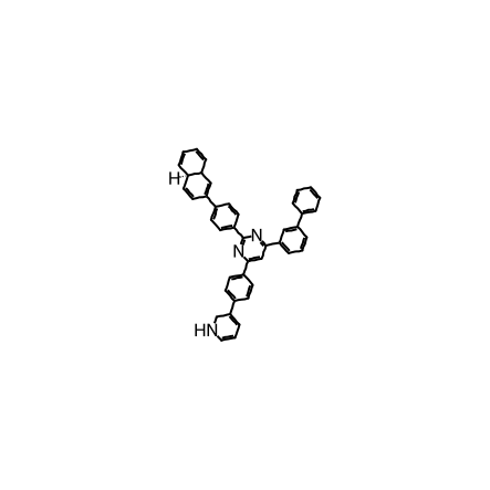 C1=CNCC(c2ccc(-c3cc(-c4cccc(-c5ccccc5)c4)nc(-c4ccc(C5=CC6C=CC=C[C@@H]6C=C5)cc4)n3)cc2)=C1